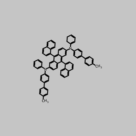 Cc1ccc(-c2ccc(N(C3=CC=CCC3)c3ccc4c(-c5cccc6ccccc56)c5cc(N(c6ccccc6)c6ccc(-c7ccc(C)cc7)cc6)ccc5c(-c5cccc6ccccc56)c4c3)cc2)cc1